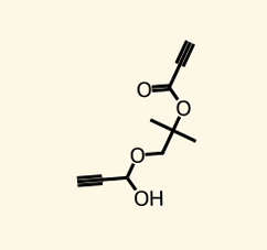 C#CC(=O)OC(C)(C)COC(O)C#C